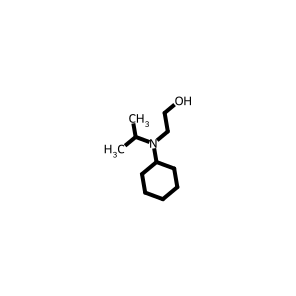 CC(C)N(CCO)C1CCCCC1